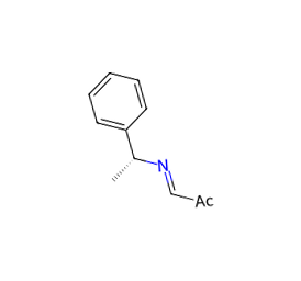 CC(=O)/C=N/[C@H](C)c1ccccc1